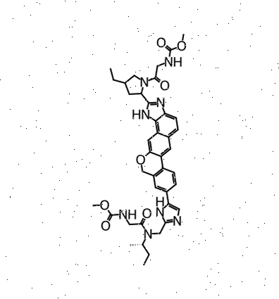 CCC1CC(c2nc3ccc4cc5c(cc4c3[nH]2)OCc2cc(-c3cnc(CN(C(=O)CNC(=O)OC)[C@@H](C)CC)[nH]3)ccc2-5)N(C(=O)CNC(=O)OC)C1